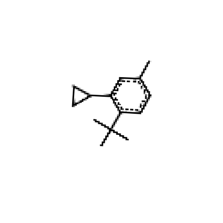 [CH2]c1ccc(C(C)(C)C)c(C2CC2)c1